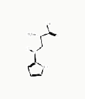 N[C@@H](C[S+]([O-])c1ccc[nH]1)C(=O)O